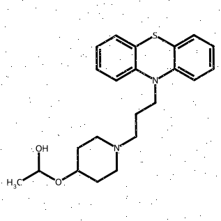 CC(O)OC1CCN(CCCN2c3ccccc3Sc3ccccc32)CC1